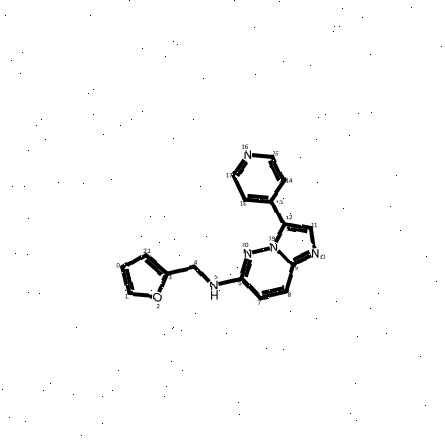 c1coc(CNc2ccc3ncc(-c4ccncc4)n3n2)c1